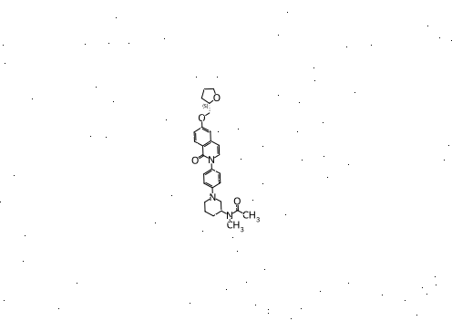 CC(=O)N(C)C1CCCN(c2ccc(-n3ccc4cc(OC[C@@H]5CCCO5)ccc4c3=O)cc2)C1